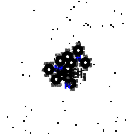 CC1(C2(C)c3cccnc3-c3c2cc(N(c2ccccc2)c2ccccc2)c2ccccc32)c2cccnc2-c2c1cc(N(c1ccccc1)c1ccccc1)c1ccccc21